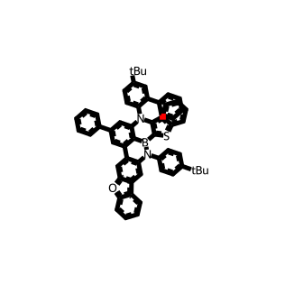 CC(C)(C)c1ccc(N2B3c4sc5ccccc5c4N(c4ccc(C(C)(C)C)cc4-c4ccccc4)c4cc(-c5ccccc5)cc(c43)-c3cc4oc5ccccc5c4cc32)cc1